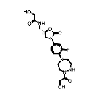 O=C(CO)NC[C@H]1CN(c2ccc(N3CCNN(C(=O)CO)CC3)c(F)c2)C(=O)O1